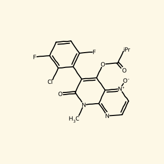 CC(C)C(=O)Oc1c(-c2c(F)ccc(F)c2Cl)c(=O)n(C)c2ncc[n+]([O-])c12